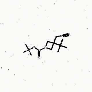 CC(C)(C)OC(=O)N1CC(CC#N)(C(C)(C)C)C1